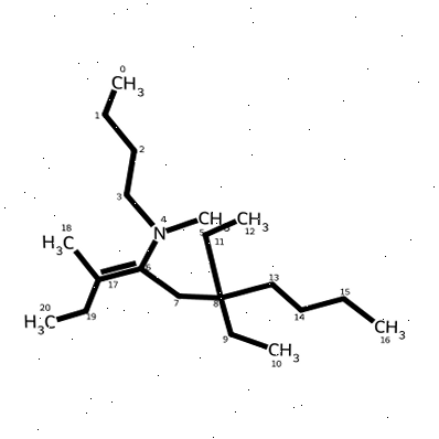 CCCCN(C)/C(CC(CC)(CC)CCCC)=C(\C)CC